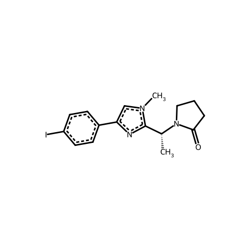 C[C@H](c1nc(-c2ccc(I)cc2)cn1C)N1CCCC1=O